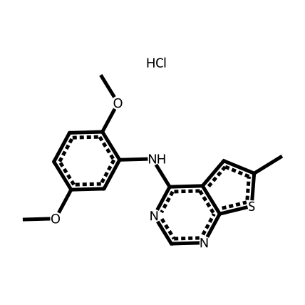 COc1ccc(OC)c(Nc2ncnc3sc(C)cc23)c1.Cl